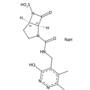 Cc1nnc(O)c(CNC(=O)N2CC[C@@H]3[C@H]2C(=O)N3S(=O)(=O)O)c1C.[NaH]